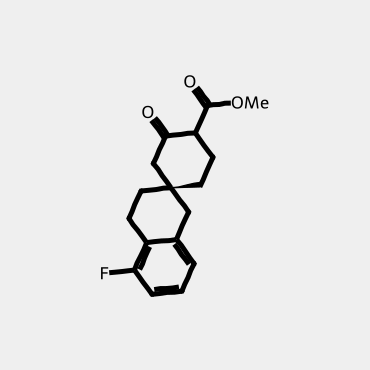 COC(=O)C1CC[C@@]2(CCc3c(F)cccc3C2)CC1=O